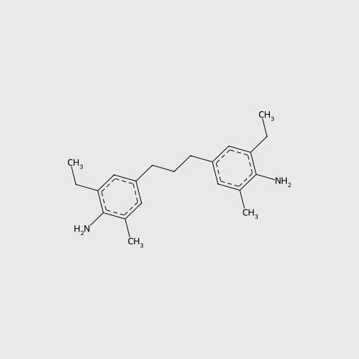 CCc1cc(CCCc2cc(C)c(N)c(CC)c2)cc(C)c1N